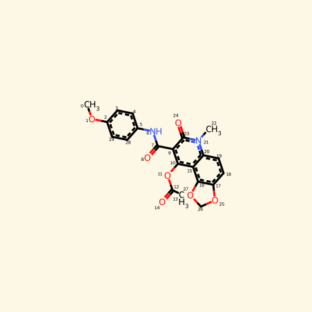 COc1ccc(NC(=O)c2c(OC(C)=O)c3c4c(ccc3n(C)c2=O)OCO4)cc1